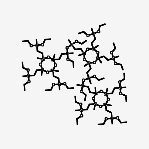 CCO[Si](C)(CC[Si]1(C)O[Si](C)(CC[Si](C)(OCC)OCC)O[Si](C)(CC[Si](C)(OCC)O[Si](C)(CC[Si]2(C)O[Si](C)(CC[Si](C)(OCC)OCC)O[Si](C)(CC[Si](C)(OCC)OCC)O[Si](C)(CC[Si](C)(OCC)O[Si](C)(CC[Si]3(C)O[Si](C)(CC[Si](C)(OCC)OCC)O[Si](C)(CC[Si](C)(OCC)OCC)O[Si](C)(CC[Si](C)(OCC)OCC)O3)OCC)O2)OCC)O[Si](C)(CC[Si](C)(OCC)OCC)O1)OCC